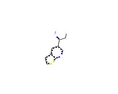 CCC(=NO)c1cnc2sccc2c1